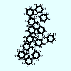 c1ccc(N2c3ccc(N4c5ccccc5[Si](c5ccccc5)(c5ccccc5)c5ccccc54)cc3[Si](c3ccccc3)(c3ccccc3)c3cc(N4c5ccccc5[Si](c5ccccc5)(c5ccccc5)c5ccccc54)ccc32)cc1